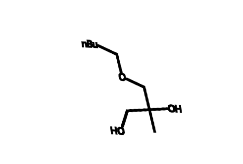 CCCCCOCC(C)(O)CO